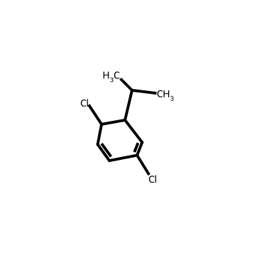 CC(C)C1C=C(Cl)C=CC1Cl